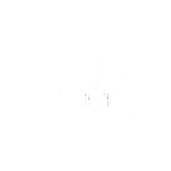 CCCCCCCNC(=S)NC(c1ccccc1)c1ccccc1